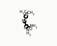 CC(C)N1CCC(n2cc(-c3cnc(N)c(C(N)=O)c3)cn2)CC1